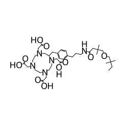 CCC(C)(C)COCC(C)(C)CC(=O)NCCCc1ccc(CC2CN(CC(=O)O)CCN(CC(=O)O)CCN(CC(=O)O)CCN2CC(=O)O)cc1